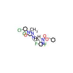 Cc1nc(N2CC[C@@H]3[C@H](C2)[C@@]3(CNC(=O)OCc2ccccc2)c2cc(F)ccc2F)cc(=O)n1-c1cccc(Cl)c1Cl